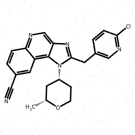 C[C@@H]1C[C@H](n2c(Cc3ccc(Cl)nc3)nc3cnc4ccc(C#N)cc4c32)CCO1